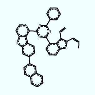 C=Cc1c(/C=C\C)oc2cccc(-c3nc(-c4ccccc4)nc(-c4nccc5oc6cc(-c7ccc8ccccc8c7)ccc6c45)n3)c12